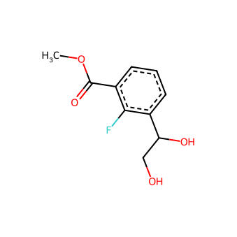 COC(=O)c1cccc(C(O)CO)c1F